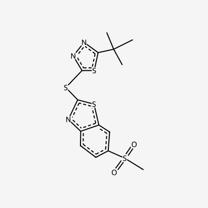 CC(C)(C)c1nnc(Sc2nc3ccc(S(C)(=O)=O)cc3s2)s1